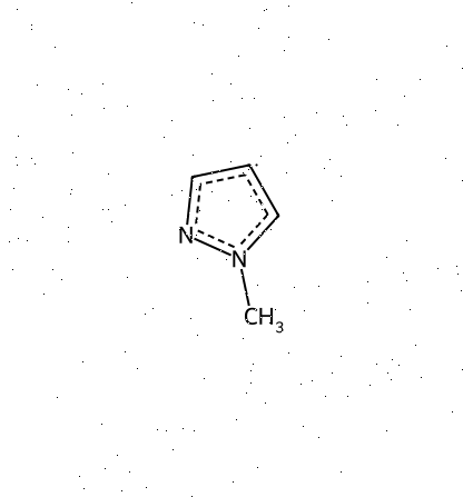 Cn1c[c]cn1